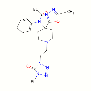 CCC(=O)N(c1ccccc1)C1(c2nnc(C)o2)CCN(CCn2nnn(CC)c2=O)CC1